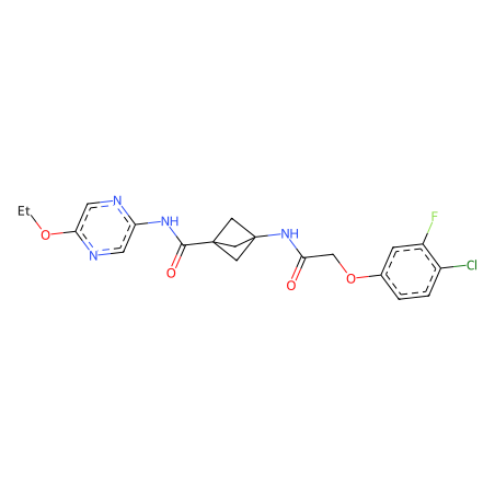 CCOc1cnc(NC(=O)C23CC(NC(=O)COc4ccc(Cl)c(F)c4)(C2)C3)cn1